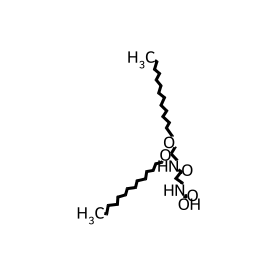 CCCCCCCCCCCCCCOCC(CNC(=O)CCNC(=O)O)OCCCCCCCCCCCCCC